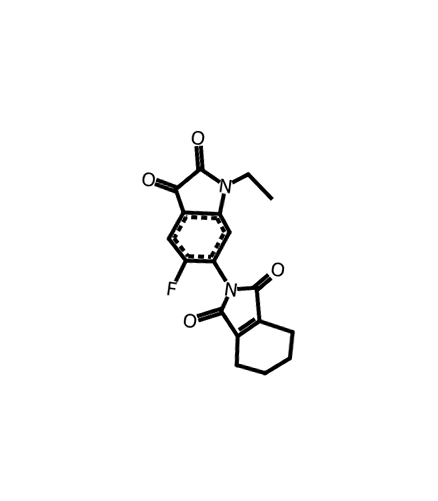 CCN1C(=O)C(=O)c2cc(F)c(N3C(=O)C4=C(CCCC4)C3=O)cc21